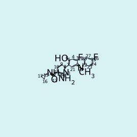 CN(c1ccc(O)c(-c2ccc(C(=O)NC3CC3)c(N)n2)c1)c1ccc(F)cc1F